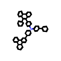 C1=CC2c3ccccc3-c3cc(C4C=CC(N(c5ccc(-c6ccccc6)cc5)c5ccc(-c6c(-c7ccccc7)c7ccccc7c7ccccc67)cc5)=CC4)ccc3C2C=C1